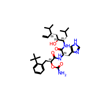 C=C[C@@H](C[C@H](O)[C@H](CC(C)C)NC(=O)[C@H](Cc1c[nH]cn1)NC(=O)[C@H](Cc1ccccc1C(C)(C)C)OC(N)=O)C(C)C